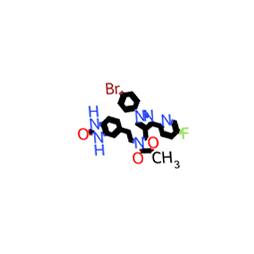 CC1OC(c2cn(-c3ccc(Br)cc3)nc2-c2ccc(F)cn2)N(CCc2ccc3[nH]c(=O)[nH]c3c2)C1=O